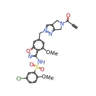 C#CC(=O)N1Cc2cn(Cc3cc(OC)c4c(NS(=O)(=O)c5cc(Cl)ccc5OC)noc4c3)nc2C1